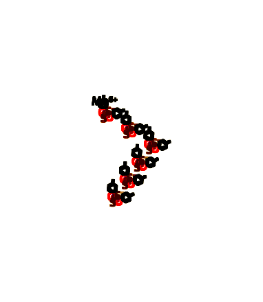 Cc1ccc(OP(=S)([S-])Oc2ccc(C)cc2)cc1.Cc1ccc(OP(=S)([S-])Oc2ccc(C)cc2)cc1.Cc1ccc(OP(=S)([S-])Oc2ccc(C)cc2)cc1.Cc1ccc(OP(=S)([S-])Oc2ccc(C)cc2)cc1.Cc1ccc(OP(=S)([S-])Oc2ccc(C)cc2)cc1.Cc1ccc(OP(=S)([S-])Oc2ccc(C)cc2)cc1.[Mo+6]